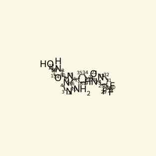 Nc1nccn2c([C@@H]3CN[C@H](CO)CO3)nc(-c3ccc(C(=O)Nc4cc(C(F)(F)F)ccn4)cc3)c12